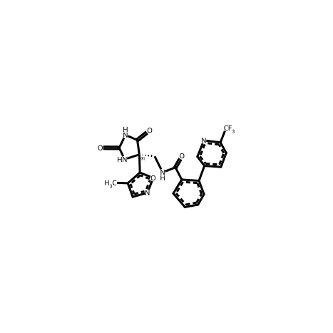 Cc1cnoc1[C@@]1(CNC(=O)c2ccccc2-c2ccc(C(F)(F)F)nc2)NC(=O)NC1=O